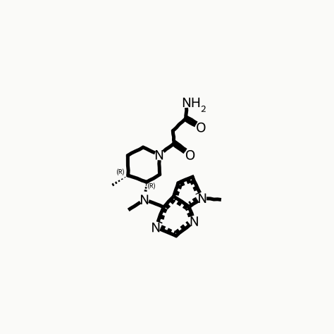 C[C@@H]1CCN(C(=O)CC(N)=O)C[C@@H]1N(C)c1ncnc2c1ccn2C